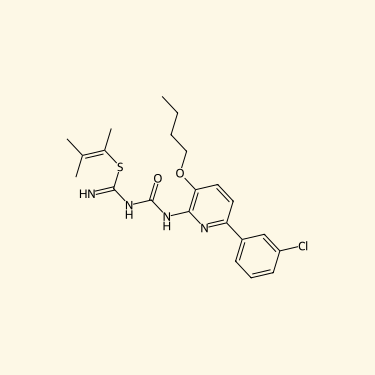 CCCCOc1ccc(-c2cccc(Cl)c2)nc1NC(=O)NC(=N)SC(C)=C(C)C